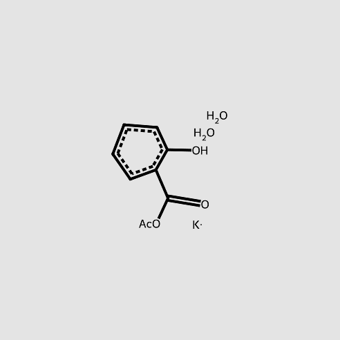 CC(=O)OC(=O)c1ccccc1O.O.O.[K]